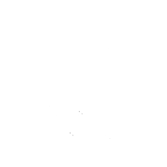 COc1ccc(CSC(=O)c2nc(C3CC3)ncc2Br)cc1